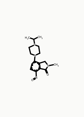 CC(C)N1CCN(c2ccc(N=O)c3c2CN(C)C3=O)CC1